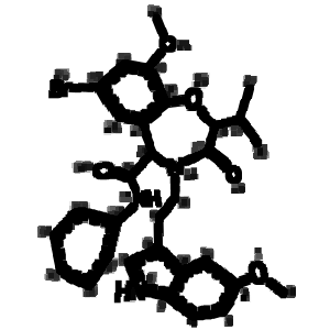 COc1ccc2[nH]cc(CCN3C(=O)C(C(C)C)Oc4c(OC)cc(Br)cc4C3C(=O)Nc3ccccc3)c2c1